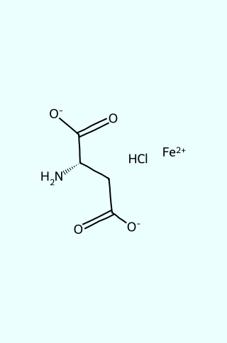 Cl.N[C@@H](CC(=O)[O-])C(=O)[O-].[Fe+2]